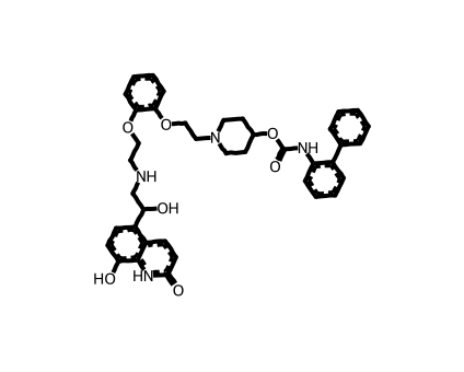 O=C(Nc1ccccc1-c1ccccc1)OC1CCN(CCOc2ccccc2OCCNCC(O)c2ccc(O)c3[nH]c(=O)ccc23)CC1